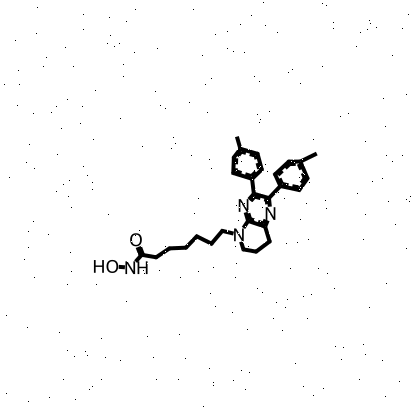 Cc1ccc(-c2nc3c(nc2-c2ccc(C)cc2)N(CCCCCCC(=O)NO)CCC3)cc1